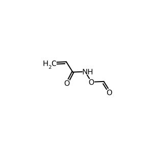 C=CC(=O)NOC=O